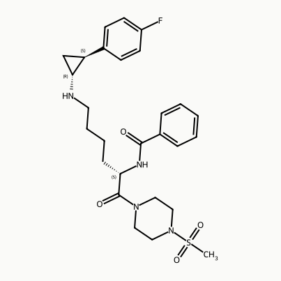 CS(=O)(=O)N1CCN(C(=O)[C@H](CCCCN[C@@H]2C[C@H]2c2ccc(F)cc2)NC(=O)c2ccccc2)CC1